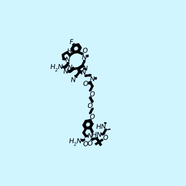 CN[C@@H](C)C(=O)N[C@H](C(=O)N1Cc2cc(OCCOCCOCCC(=O)N(C)CCn3nc4c(c3C#N)-c3cnc(N)c(n3)N3CCC[C@@H]3c3cc(F)ccc3C(=O)N(C)C4)ccc2C[C@H]1C(N)=O)C(C)(C)C